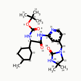 CC1CCC([C@H](NC(=O)OC(C)(C)C)C(=O)Nc2cc(CN3CC(C)(C)NC3=O)ccn2)CC1